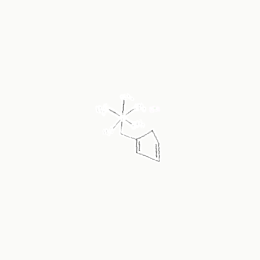 Cl.[CH3][Ti]([CH3])([CH3])([CH3])([CH3])[CH2]C1=CC=CC1